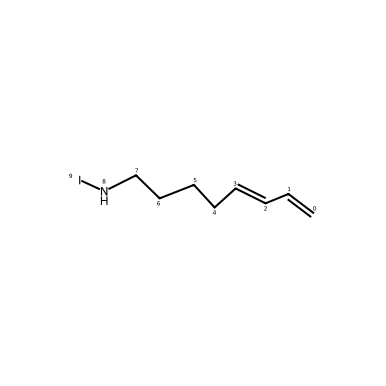 C=C/C=C/CCCCNI